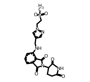 CS(=O)(=O)CCn1cc(CNc2cccc3c2C(=O)N(C2CCC(=O)NC2=O)C3=O)cn1